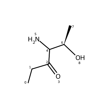 CCC(=O)C(N)[C@@H](C)O